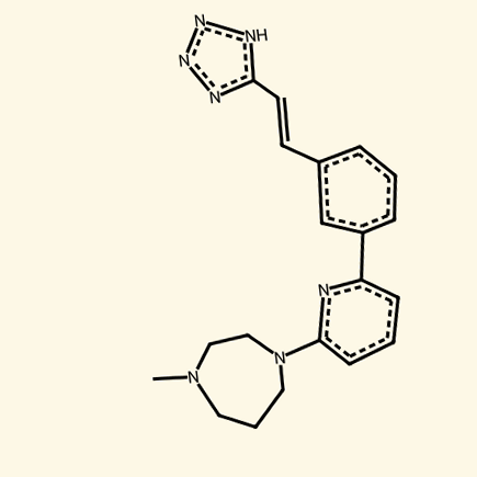 CN1CCCN(c2cccc(-c3cccc(/C=C/c4nnn[nH]4)c3)n2)CC1